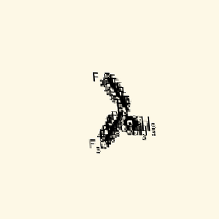 CC1(C)CC(N(CC(F)(F)C(F)(F)C(F)(F)C(F)(F)C(F)(F)C(F)(F)C(F)(F)C(F)(F)F)CC(F)(F)C(F)(F)C(F)(F)C(F)(F)C(F)(F)C(F)(F)C(F)(F)C(F)(F)F)CC(C)(C)N1O